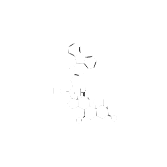 CC(CCC(=O)OC1c2ccccc2-c2ccccc21)C1CCC2C3C(=O)CC4CC(=O)CCC4(C)C3CC(=O)C12C